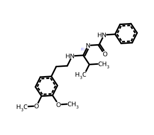 COc1ccc(CCN/C(=N/C(=O)Nc2ccccc2)C(C)C)cc1OC